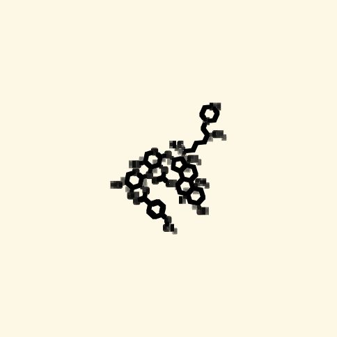 COc1ccc(C(=O)O[C@H]2[C@H](O[C@@H]3[C@@H](OC(C)=O)[C@H](O[C@H]4CC5C6CC[C@H]7C[C@@H](O)CC[C@]7(C)C6CC[C@]5(C)[C@H]4[C@H](C)CCC[C@@H](C)CN4CCNCC4)OC[C@@H]3O)OC[C@@H](O)[C@@H]2O)cc1